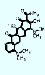 CN(C)c1cccc2c1CC1CC3C(C(=O)C(C(N)=O)=C(O)[C@@H]3N(C)C)C(O)=C1C2=O